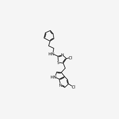 Clc1cnc2[nH]cc(Cc3sc(NCCc4ccccc4)nc3Cl)c2c1